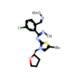 CO/N=C\c1ccc(Cl)cc1C(=NC#N)/N=c1\sc(C(C)(C)C)cn1C[C@H]1CCCO1